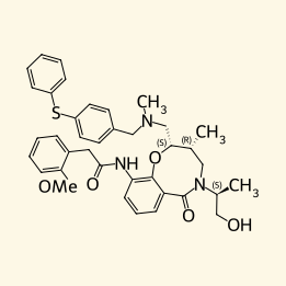 COc1ccccc1CC(=O)Nc1cccc2c1O[C@H](CN(C)Cc1ccc(Sc3ccccc3)cc1)[C@H](C)CN([C@@H](C)CO)C2=O